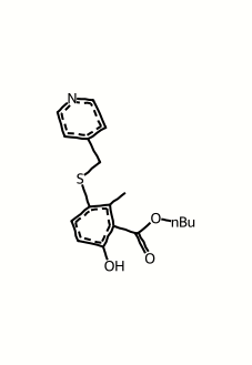 CCCCOC(=O)c1c(O)ccc(SCc2ccncc2)c1C